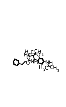 CC(C)Nc1ccc2c(c1)OC(C)(C)C(O)C2NC(=O)OCCc1ccccc1